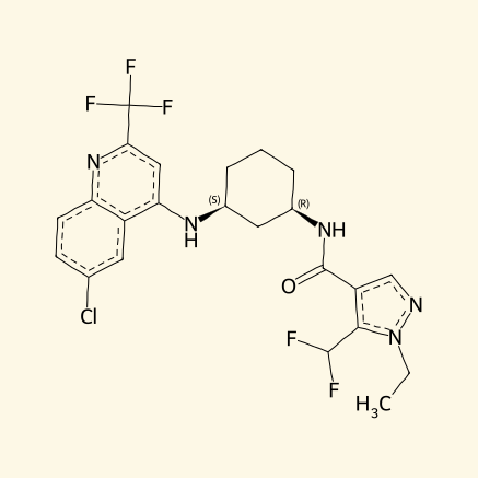 CCn1ncc(C(=O)N[C@@H]2CCC[C@H](Nc3cc(C(F)(F)F)nc4ccc(Cl)cc34)C2)c1C(F)F